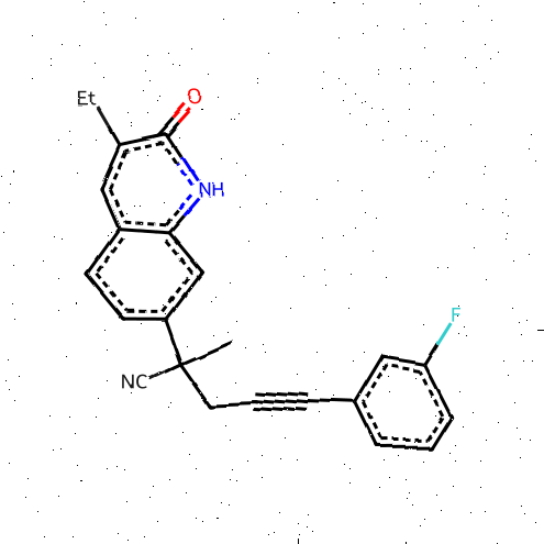 CCc1cc2ccc(C(C)(C#N)CC#Cc3cccc(F)c3)cc2[nH]c1=O